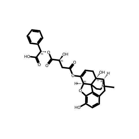 CN1CCC23c4c5ccc(O)c4O[C@H]2C(OC(=O)C[C@H](O)C(=O)O[C@H](C(=O)O)c2ccccc2)=CC[C@@]3(O)[C@H]1C5